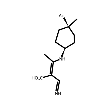 C/C(N[C@H]1CC[C@@](C)(C(C)=O)CC1)=C(/C=N)C(=O)O